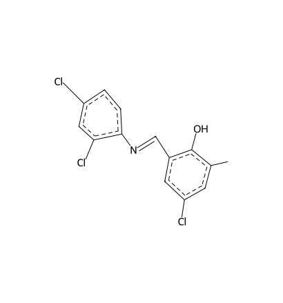 Cc1cc(Cl)cc(/C=N/c2ccc(Cl)cc2Cl)c1O